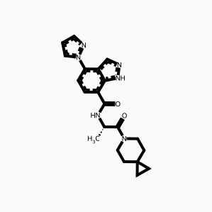 C[C@H](NC(=O)c1ccc(-n2cccn2)c2cn[nH]c12)C(=O)N1CCC2(CC1)CC2